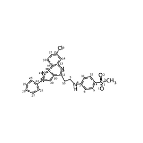 CS(=O)(=O)c1ccc(NCCc2nc3cc(Cl)ccc3c3nn(-c4ccccc4)cc23)cc1